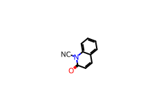 N#Cn1c(=O)ccc2ccccc21